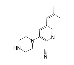 CC(C)=Cc1cnc(C#N)c(N2CCNCC2)c1